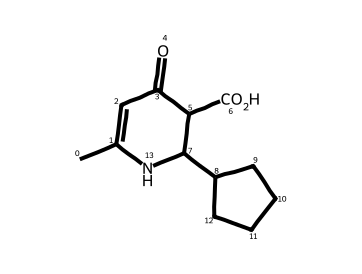 CC1=CC(=O)C(C(=O)O)C(C2CCCC2)N1